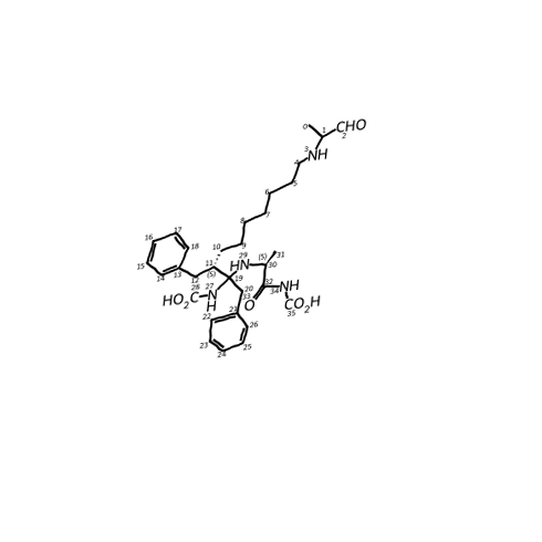 CC(C=O)NCCCCCCC[C@@H](Cc1ccccc1)C(Cc1ccccc1)(NC(=O)O)N[C@@H](C)C(=O)NC(=O)O